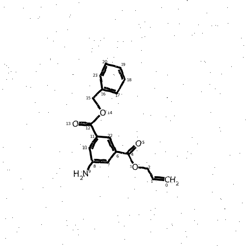 C=CCOC(=O)c1cc(N)cc(C(=O)OCc2ccccc2)c1